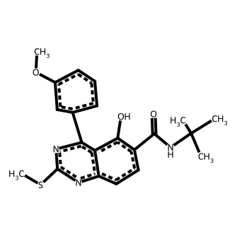 COc1cccc(-c2nc(SC)nc3ccc(C(=O)NC(C)(C)C)c(O)c23)c1